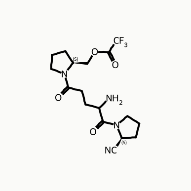 N#C[C@@H]1CCCN1C(=O)C(N)CCC(=O)N1CCC[C@H]1COC(=O)C(F)(F)F